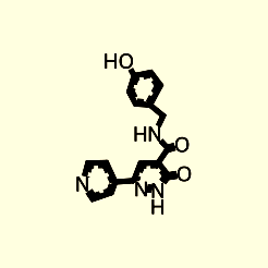 O=C(NCc1ccc(O)cc1)c1cc(-c2ccncc2)n[nH]c1=O